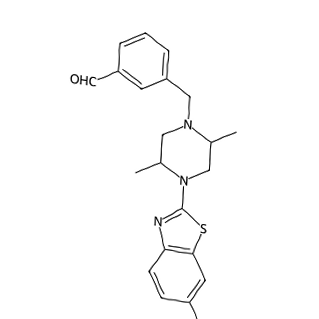 CC1CN(c2nc3ccc(I)cc3s2)C(C)CN1Cc1cccc(C=O)c1